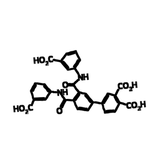 O=C(O)c1cccc(NC(=O)c2ccc(-c3ccc(C(=O)O)c(C(=O)O)c3)cc2C(=O)Nc2cccc(C(=O)O)c2)c1